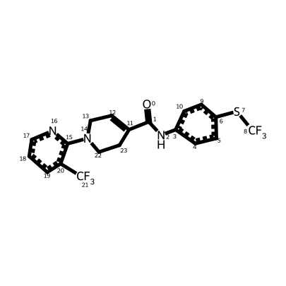 O=C(Nc1ccc(SC(F)(F)F)cc1)C1=CCN(c2ncccc2C(F)(F)F)CC1